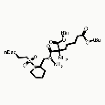 CCCCCCCCCCCCS(=O)(=O)N1CCCCC1CN(N)C(=O)C(N)(CCCCC(=O)OC(C)(C)C)C(=O)OC(C)(C)C